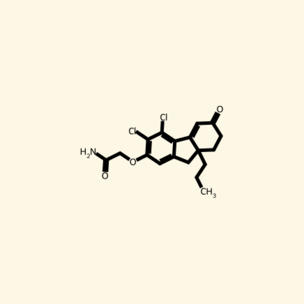 CCCC12CCC(=O)C=C1c1c(cc(OCC(N)=O)c(Cl)c1Cl)C2